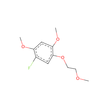 COCCOc1cc(F)c(OC)cc1OC